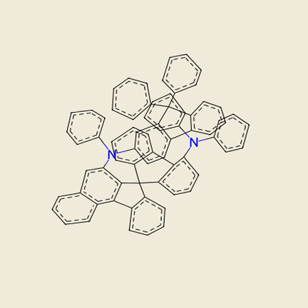 c1ccc(N(c2ccccc2)c2cccc3c2-c2ccccc2C32c3ccccc3-c3c2c(N(c2ccccc2)c2ccc4c(c2)C(c2ccccc2)(c2ccccc2)c2ccccc2-4)cc2ccccc32)cc1